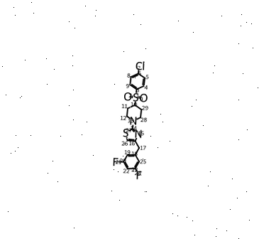 O=S(=O)(c1ccc(Cl)cc1)C1CCN(c2nc(Cc3cc(F)cc(F)c3)cs2)CC1